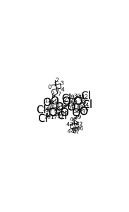 CC1(C)CCC1(C)CCOC(=O)c1c(Cl)c(Cl)cc(Cl)c1OC(=O)C(=O)Oc1c(Cl)cc(Cl)c(Cl)c1C(=O)OCCC1(C)CCC1(C)C